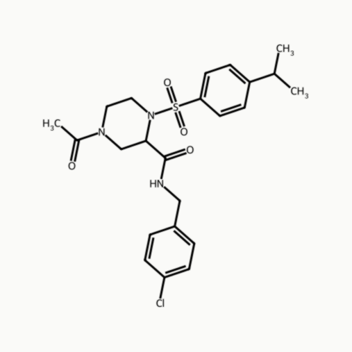 CC(=O)N1CCN(S(=O)(=O)c2ccc(C(C)C)cc2)C(C(=O)NCc2ccc(Cl)cc2)C1